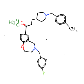 Cc1ccc(CN2CCC(CCC(=O)c3ccc4c(c3)CN(Cc3ccc(F)cc3)CCO4)CC2)cc1.Cl.Cl